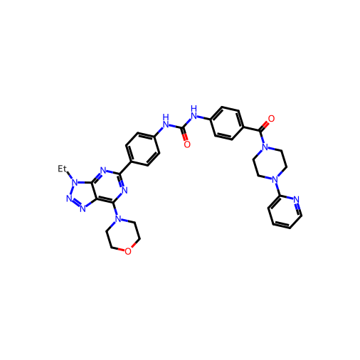 CCn1nnc2c(N3CCOCC3)nc(-c3ccc(NC(=O)Nc4ccc(C(=O)N5CCN(c6ccccn6)CC5)cc4)cc3)nc21